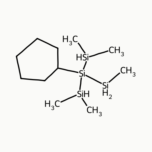 C[SiH2][Si](C1CCCCC1)([SiH](C)C)[SiH](C)C